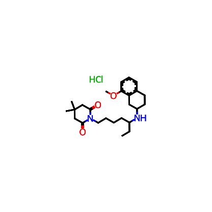 CCC(CCCCN1C(=O)CC(C)(C)CC1=O)NC1CCc2cccc(OC)c2C1.Cl